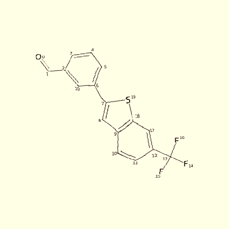 O=Cc1cccc(-c2cc3ccc(C(F)(F)F)cc3s2)c1